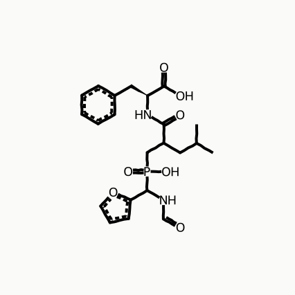 CC(C)CC(CP(=O)(O)C(NC=O)c1ccco1)C(=O)N[C@@H](Cc1ccccc1)C(=O)O